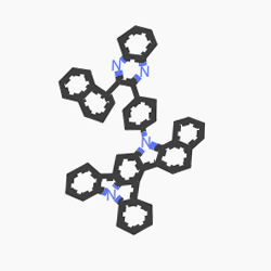 c1ccc2c(-c3nc4ccccc4nc3-c3ccc(-n4c5cc6c7ccccc7n7c8ccccc8c(c5c5ccc8ccccc8c54)c67)cc3)cccc2c1